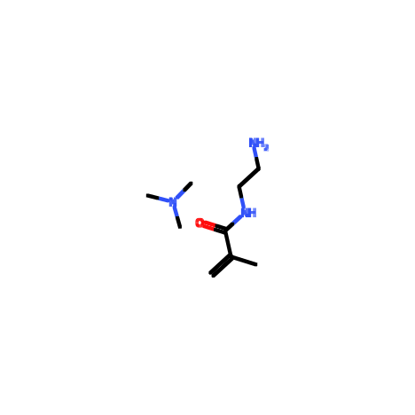 C=C(C)C(=O)NCCN.CN(C)C